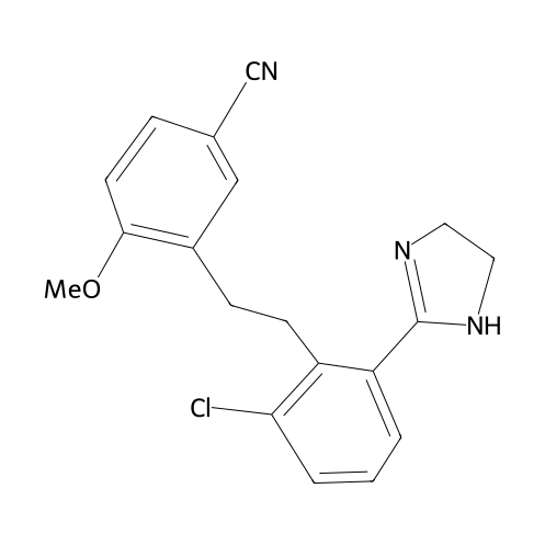 COc1ccc(C#N)cc1CCc1c(Cl)cccc1C1=NCCN1